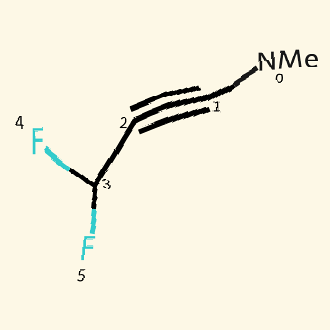 CNC#CC(F)F